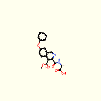 COC(O)c1c(C(=O)N[C@H](C)C(=O)O)ncc2cc(Oc3ccccc3)ccc12